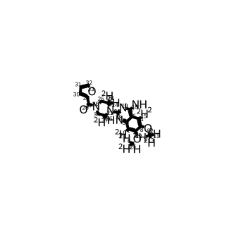 [2H]c1c(OC([2H])([2H])[2H])c(OC([2H])([2H])[2H])c([2H])c2c(N)nc(N3C([2H])([2H])CN(C(=O)c4ccco4)CC3([2H])[2H])nc12